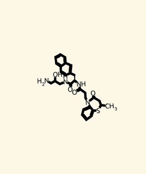 CC1CC(=O)N(CCC(=O)N[C@H](Cc2ccc3ccccc3c2)C(=O)NCC(O)CN)c2ccccc2S1